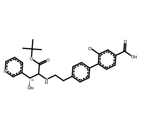 CC(C)(C)OC(=O)C(NCCc1ccc(-c2ccc(C(=O)O)cc2Cl)cc1)[C@H](O)c1cccnc1